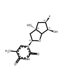 Cc1cn([C@H]2C[C@@]3(O)C[C@@H](F)[C@@H](O)C3O2)c(=O)[nH]c1=O